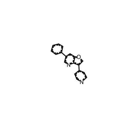 c1ccc(-c2cnc3c(-c4ccncc4)coc3c2)cc1